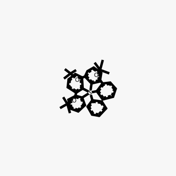 CC(C)(C)Oc1ccccc1[S](c1ccccc1)(c1ccccc1)(c1ccccc1OC(C)(C)C)c1ccccc1OC(C)(C)C